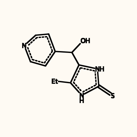 CCc1[nH]c(=S)[nH]c1C(O)c1ccncc1